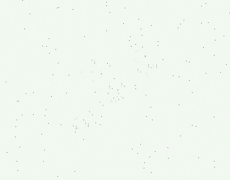 Nc1c(Br)cc(C[C@@H](NC(=O)N2CCC(n3c(=O)[nH]c4ccccc43)CC2)C(=O)N2CCN(c3ccncn3)CC2)cc1Br